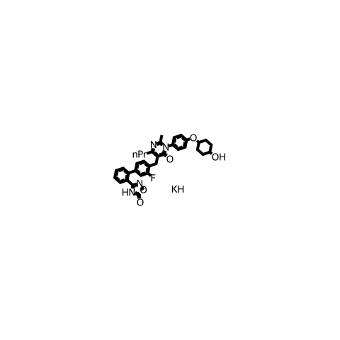 CCCc1nc(C)n(-c2ccc(OC3CCC(O)CC3)cc2)c(=O)c1Cc1ccc(-c2ccccc2-c2noc(=O)[nH]2)cc1F.[KH]